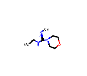 CC(C)(C)CN/C(=N/C#N)N1CCOCC1